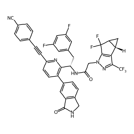 N#Cc1ccc(C#Cc2ccc(-c3ccc4c(c3)C(=O)NC4)c([C@H](Cc3cc(F)cc(F)c3)NC(=O)Cn3nc(C(F)(F)F)c4c3C(F)(F)C3C[C@H]43)n2)cc1